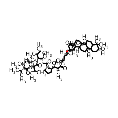 CC[C@H](C)[C@@H]([C@@H](CC(=O)N1CCCC1[C@H](OC)[C@@H](C)C(=O)NCCCCN1C(=O)[C@]23CCC(C)(C)C1C2[C@H]1CCC2[C@@]4(C)CC[C@H](O)C(C)(C)C4CC[C@@]2(C)[C@]1(C)CC3)OC)N(C)C(=O)[C@@H](NC(=O)[C@H](C(C)C)N(C)C)C(C)C